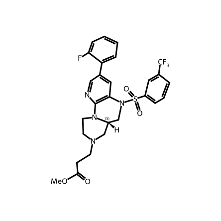 COC(=O)CCN1CCN2c3ncc(-c4ccccc4F)cc3N(S(=O)(=O)c3cccc(C(F)(F)F)c3)C[C@@H]2C1